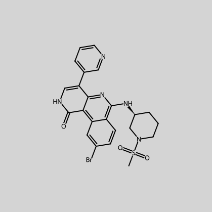 CS(=O)(=O)N1CCC[C@H](Nc2nc3c(-c4cccnc4)c[nH]c(=O)c3c3cc(Br)ccc23)C1